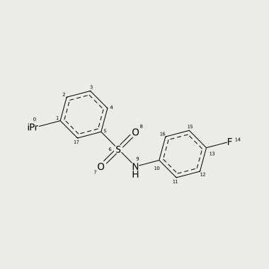 CC(C)c1cccc(S(=O)(=O)Nc2ccc(F)cc2)c1